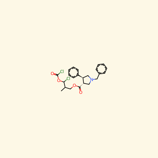 CC(COC(=O)[C@H]1CN(Cc2ccccc2)C[C@@H]1c1ccccc1)C(Cl)OC(=O)Cl